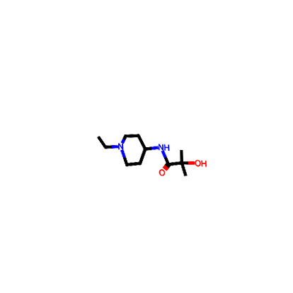 CCN1CCC(NC(=O)C(C)(C)O)CC1